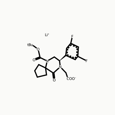 CC(C)(C)OC(=O)N1C[C@@H](c2cc(F)cc(F)c2)N(CC(=O)[O-])C(=O)C12CCCC2.[Li+]